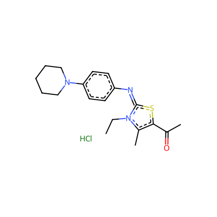 CCn1c(C)c(C(C)=O)sc1=Nc1ccc(N2CCCCC2)cc1.Cl